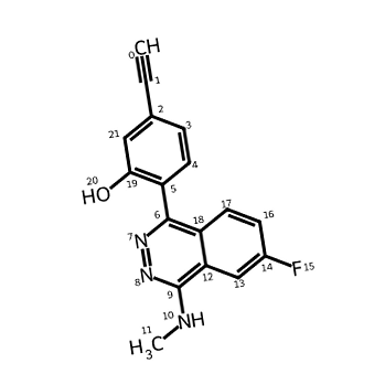 C#Cc1ccc(-c2nnc(NC)c3cc(F)ccc23)c(O)c1